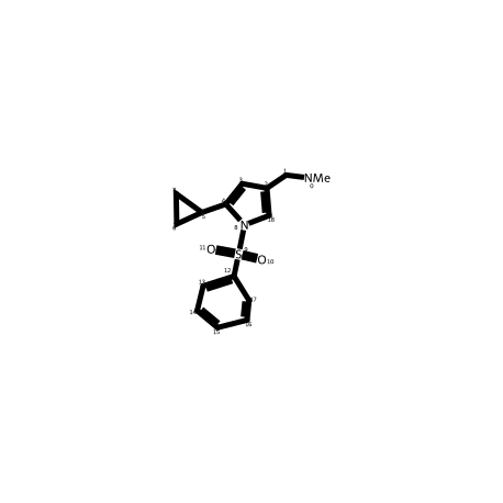 CNCc1cc(C2CC2)n(S(=O)(=O)c2ccccc2)c1